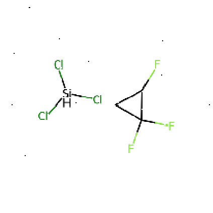 Cl[SiH](Cl)Cl.FC1CC1(F)F